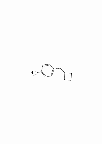 Cc1ccc(C[C]2CCC2)cc1